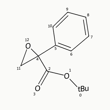 CC(C)(C)OC(=O)C1(c2ccccc2)CO1